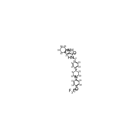 O=C(NCc1ccc(C2CCN(c3ccc(OC(F)(F)F)cc3)CC2)cc1)c1cc2c([nH]1)CCCC2